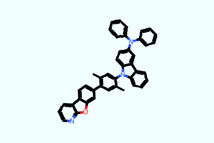 Cc1cc(-n2c3ccccc3c3cc(N(c4ccccc4)c4ccccc4)ccc32)c(C)cc1-c1ccc2c(c1)oc1ncccc12